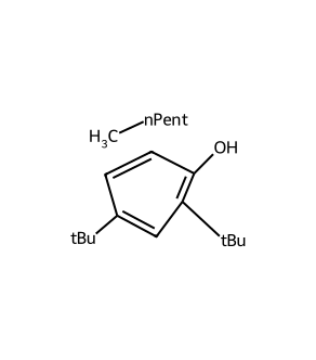 CC(C)(C)c1ccc(O)c(C(C)(C)C)c1.CCCCCC